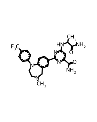 CC(Nc1cc(C(N)=O)nc(-c2ccc3c(c2)CN(C)CCN3c2ccc(C(F)(F)F)cc2)n1)C(N)=O